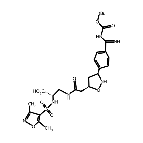 Cc1noc(C)c1S(=O)(=O)N[C@@H](CNC(=O)C[C@H]1C[C@@H](c2ccc(C(=N)NC(=O)OC(C)(C)C)cc2)NO1)C(=O)O